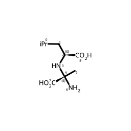 CC(C)C[C@H](N[C@](C)(N)C(=O)O)C(=O)O